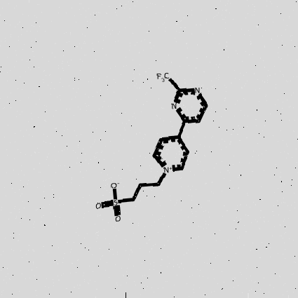 O=S(=O)([O-])CCC[n+]1ccc(-c2ccnc(C(F)(F)F)n2)cc1